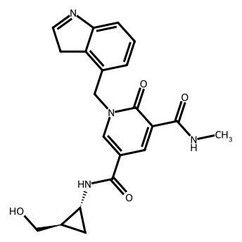 CNC(=O)c1cc(C(=O)N[C@@H]2C[C@H]2CO)cn(Cc2cccc3c2CC=N3)c1=O